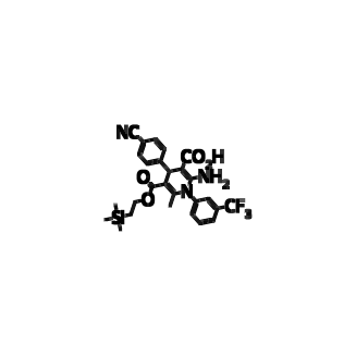 CC1=C(C(=O)OCC[Si](C)(C)C)C(c2ccc(C#N)cc2)C(C(=O)O)=C(N)N1c1cccc(C(F)(F)F)c1